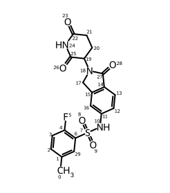 Cc1ccc(F)c(S(=O)(=O)Nc2ccc3c(c2)CN(C2CCC(=O)NC2=O)C3=O)c1